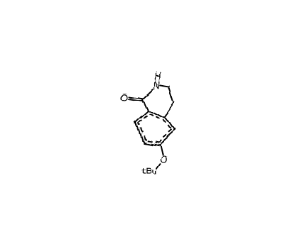 CC(C)(C)Oc1ccc2c(c1)CCNC2=O